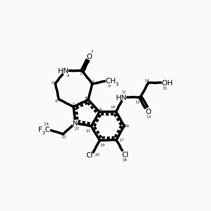 CC1C(=O)NCCc2c1c1c(NC(=O)CO)cc(Cl)c(Cl)c1n2CC(F)(F)F